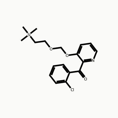 C[Si](C)(C)CCOCOc1cccnc1C(=O)c1ccccc1Cl